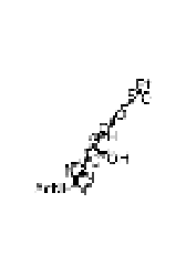 CCC(=O)SCCOCCOPO[C@@H]1C[C@H](n2cnc3c(NC(C)=O)ncnc32)O[C@@H]1CO